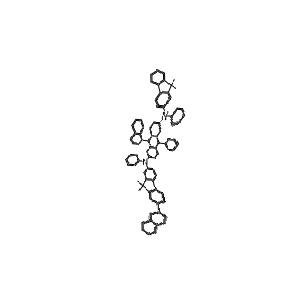 CC1(C)c2ccccc2-c2ccc(N(c3ccccc3)c3ccc4c(-c5cccc6ccccc56)c5cc(N(c6ccccc6)c6ccc7c(c6)C(C)(C)c6cc(-c8ccc9ccccc9c8)ccc6-7)ccc5c(-c5ccccc5)c4c3)cc21